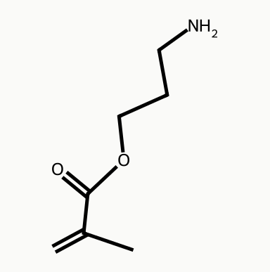 C=C(C)C(=O)OCCCN